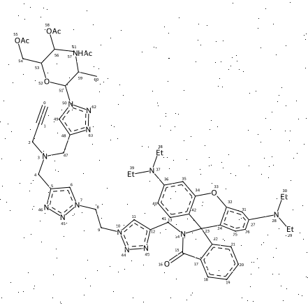 C#CCN(Cc1cn(CCn2cc(CN3C(=O)c4ccccc4C34c3ccc(N(CC)CC)cc3Oc3cc(N(CC)CC)ccc34)nn2)nn1)Cc1cn(C(OC(COC(C)=O)C(C)OC(C)=O)C(C)NC(C)=O)nn1